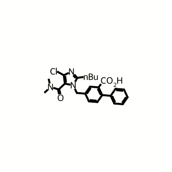 CCCCc1nc(Cl)c(C(=O)N(C)C)n1Cc1ccc(-c2ccccc2)c(C(=O)O)c1